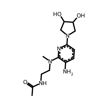 CC(=O)NCCN(C)c1nc(N2CC(O)C(O)C2)ccc1N